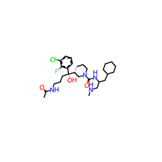 CNCC(CC1CCCCC1)NC(=O)N1CCC[C@@H]([C@@](O)(CCCNC(C)=O)c2cccc(Cl)c2F)C1